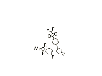 COC1(F)CC(F)=C(C2=C(c3ccc(S(=O)(=O)C(F)F)cc3)CC3(CC3)C2)C=C1F